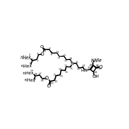 CCCCCCC(CCCCCC)CCOC(=O)CCCCCCCN(CCCCCCCC(=O)OCCC(CCCCCC)CCCCCC)CCCNC1=C(NC)C(=O)C1O